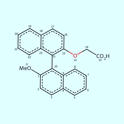 COc1ccc2ccccc2c1-c1c(OCC(=O)O)ccc2ccccc12